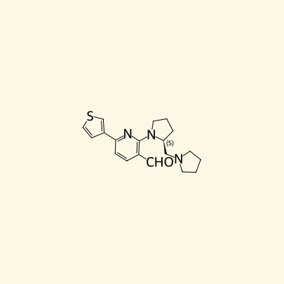 O=Cc1ccc(-c2ccsc2)nc1N1CCC[C@H]1CN1CCCC1